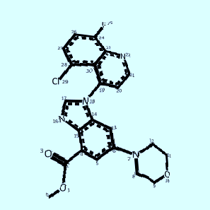 COC(=O)c1cc(N2CCOCC2)cc2c1ncn2-c1ccnc2c(F)ccc(Cl)c12